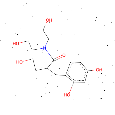 O=C(C(CCO)Cc1ccc(O)cc1O)N(CCO)CCO